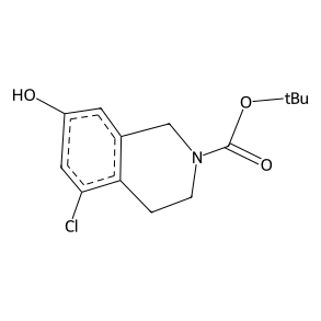 CC(C)(C)OC(=O)N1CCc2c(Cl)cc(O)cc2C1